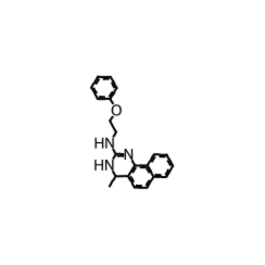 CC1NC(NCCOc2ccccc2)=Nc2c1ccc1ccccc21